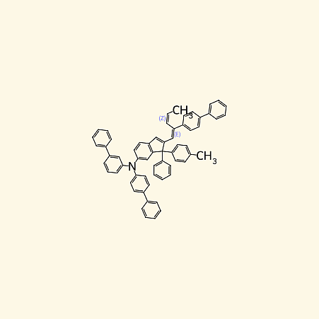 C/C=C\C(=C/C1=Cc2ccc(N(c3ccc(-c4ccccc4)cc3)c3cccc(-c4ccccc4)c3)cc2C1(c1ccccc1)c1ccc(C)cc1)c1ccc(-c2ccccc2)cc1